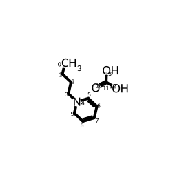 CCCCN1C=CC=CC1.O=C(O)O